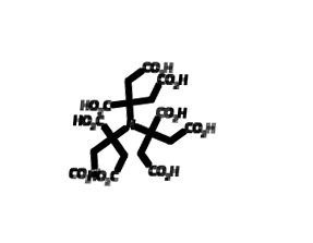 O=C(O)CC(CC(=O)O)(C(=O)O)N(C(CC(=O)O)(CC(=O)O)C(=O)O)C(CC(=O)O)(CC(=O)O)C(=O)O